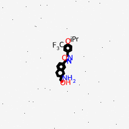 CC(C)Oc1ccc(-c2nnc(-c3ccc4c(c3)C[C@](N)(CO)CC4)o2)cc1C(F)(F)F